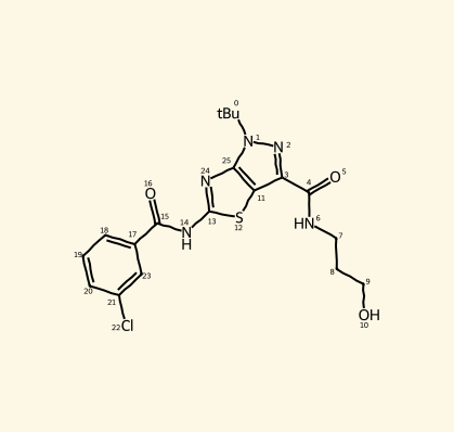 CC(C)(C)n1nc(C(=O)NCCCO)c2sc(NC(=O)c3cccc(Cl)c3)nc21